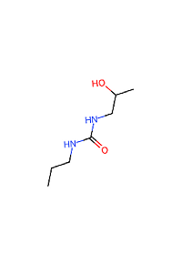 CCCNC(=O)NCC(C)O